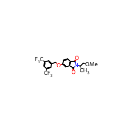 COC[C@H](C)N1C(=O)c2ccc(OCc3cc(C(F)(F)F)cc(C(F)(F)F)c3)cc2C1=O